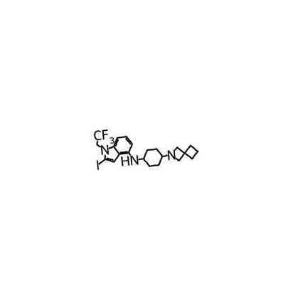 FC(F)(F)Cn1c(I)cc2c(NC3CCC(N4CC5(CCC5)C4)CC3)cccc21